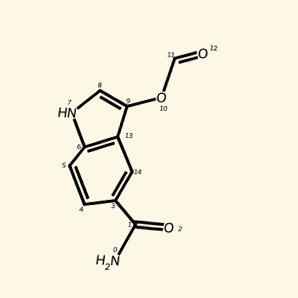 NC(=O)c1ccc2[nH]cc(OC=O)c2c1